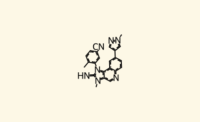 Cc1ccc(C#N)cc1-n1c(=N)n(C)c2cnc3ccc(-c4cnn(C)c4)cc3c21